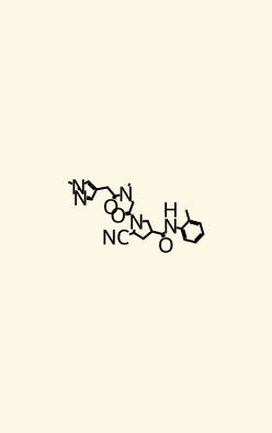 Cc1ccccc1NC(=O)C1CC(C#N)N(C(=O)CN(C)C(=O)Cc2cnn(C)c2)C1